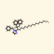 CCCCCCCCCCCCCCCC(c1nccn1Cc1ccccc1)C(C)(Cc1ccccc1)c1ccccc1